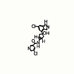 O=C(NC1[C@H]2CC(O)(c3cc(Cl)cc4[nH]ncc34)C[C@@H]12)c1cncc(Cl)c1